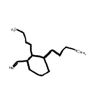 CCCCC1CCCC(C=N)C1CCCC